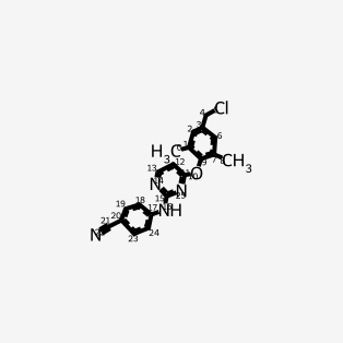 Cc1cc(CCl)cc(C)c1Oc1ccnc(Nc2ccc(C#N)cc2)n1